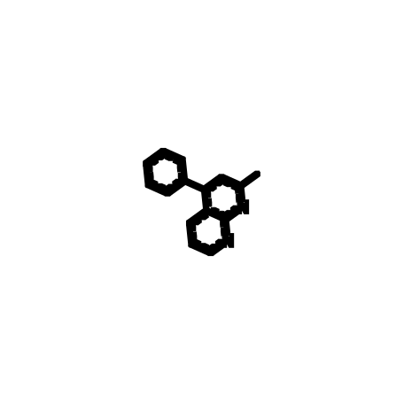 Cc1cc(-c2ccccc2)c2cccnc2n1